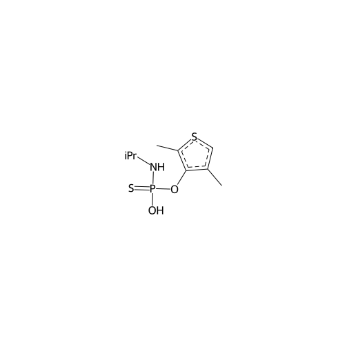 Cc1csc(C)c1OP(O)(=S)NC(C)C